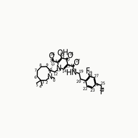 CN1CC(C)(C)CCCC[C@@]1(C)Cn1cc(C(=O)NCCc2ccc(CF)cc2F)c(=O)c(O)c1C=O